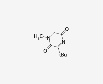 CN1CC(=O)N=C(C(C)(C)C)C1=O